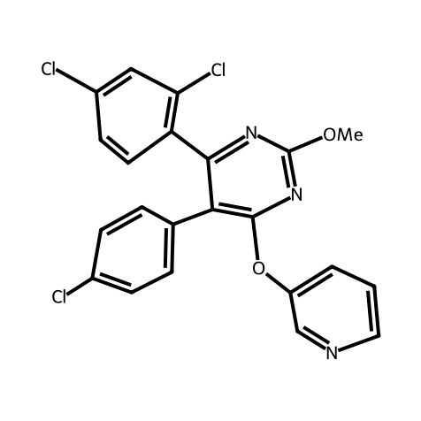 COc1nc(Oc2cccnc2)c(-c2ccc(Cl)cc2)c(-c2ccc(Cl)cc2Cl)n1